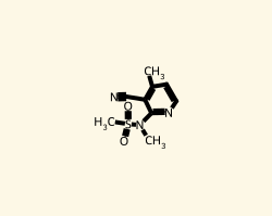 Cc1ccnc(N(C)S(C)(=O)=O)c1C#N